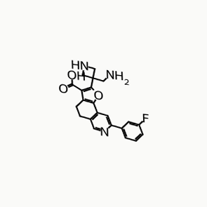 NCC1(c2oc3c(c2C(=O)O)CCc2cnc(-c4cccc(F)c4)cc2-3)CNC1